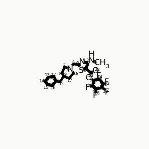 CNc1nc(CN2CCC(Cc3ccccc3)CC2)sc1C(=O)Oc1c(F)c(F)c(F)c(F)c1F